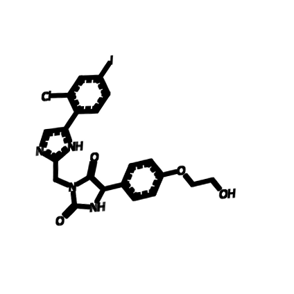 O=C1NC(c2ccc(OCCO)cc2)C(=O)N1Cc1ncc(-c2ccc(I)cc2Cl)[nH]1